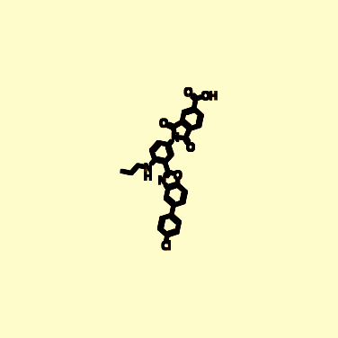 CCCNc1ccc(N2C(=O)c3ccc(C(=O)O)cc3C2=O)cc1-c1nc2cc(-c3ccc(Cl)cc3)ccc2o1